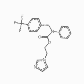 O=C(OCCn1ccnc1)N(Cc1ccc(C(F)(F)F)cc1)c1ccccc1